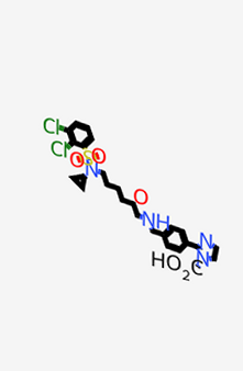 O=C(CCCCN(C1CC1)S(=O)(=O)c1cccc(Cl)c1Cl)CNCc1ccc(C2=NCCN2C(=O)O)cc1